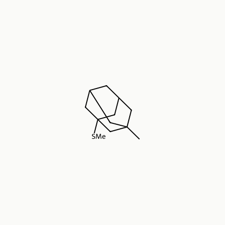 CSC12CC3CC(CC(C)(C3)C1)C2